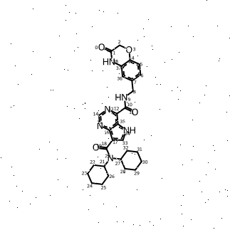 O=C1COc2ccc(CNC(=O)c3ncnc4c(C(=O)N(C5CCCCC5)C5CCCCC5)c[nH]c34)cc2N1